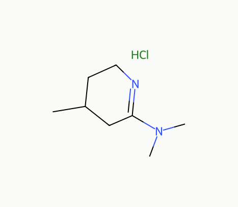 CC1CCN=C(N(C)C)C1.Cl